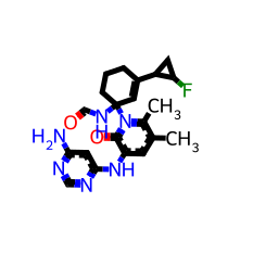 Cc1cc(Nc2cc(N)ncn2)c(=O)n(C2(NC=O)C=C(C3CC3F)CCC2)c1C